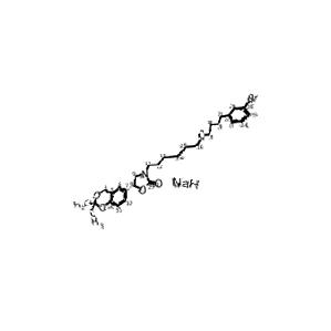 CC1(C)OCc2cc([C@@H]3CN(CCCCCCOCCCCc4cccc(Br)c4)C(=O)O3)ccc2O1.[NaH]